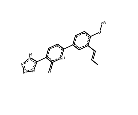 CC=Cc1cc(-c2ccc(-c3nnn[nH]3)c(=O)[nH]2)ccc1OCCC